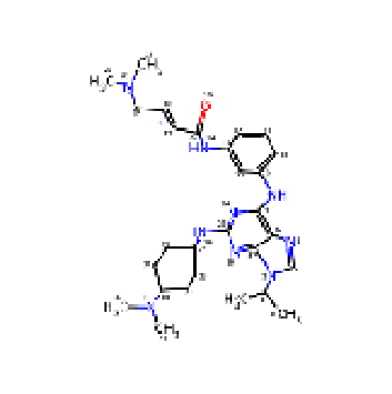 CC(C)n1cnc2c(Nc3cccc(NC(=O)/C=C/CN(C)C)c3)nc(N[C@H]3CC[C@H](N(C)C)CC3)nc21